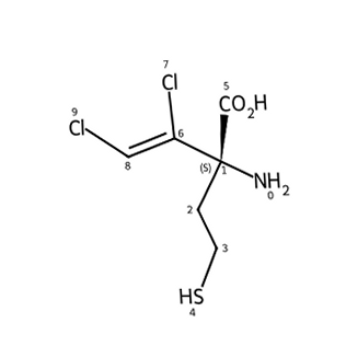 N[C@@](CCS)(C(=O)O)C(Cl)=CCl